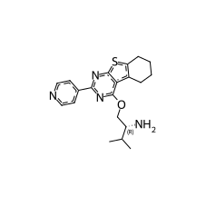 CC(C)[C@@H](N)COc1nc(-c2ccncc2)nc2sc3c(c12)CCCC3